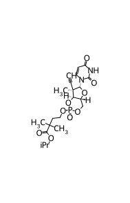 C#C[C@]1(C)[C@@H]2O[P@](=O)(OCCC(C)(C)C(=O)OC(C)C)OC[C@H]2O[C@H]1n1ccc(=O)[nH]c1=O